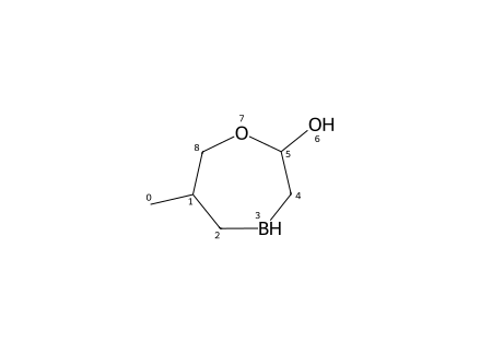 CC1CBCC(O)OC1